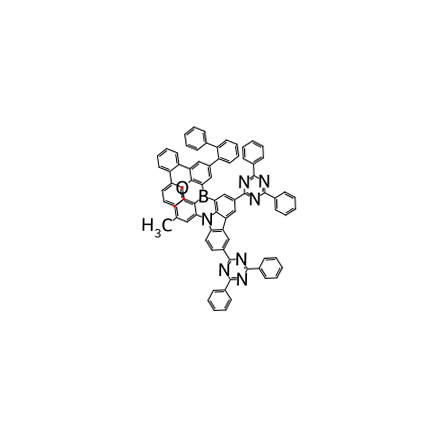 Cc1cc2c3c(c1)-n1c4ccc(-c5nc(-c6ccccc6)nc(-c6ccccc6)n5)cc4c4cc(-c5nc(-c6ccccc6)nc(-c6ccccc6)n5)cc(c41)B3c1cc(-c3ccccc3-c3ccccc3)cc(-c3ccccc3-c3ccccc3)c1O2